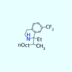 CCCCCCCCC(C)C1(CC)NCCc2ccc(C(F)(F)F)cc21